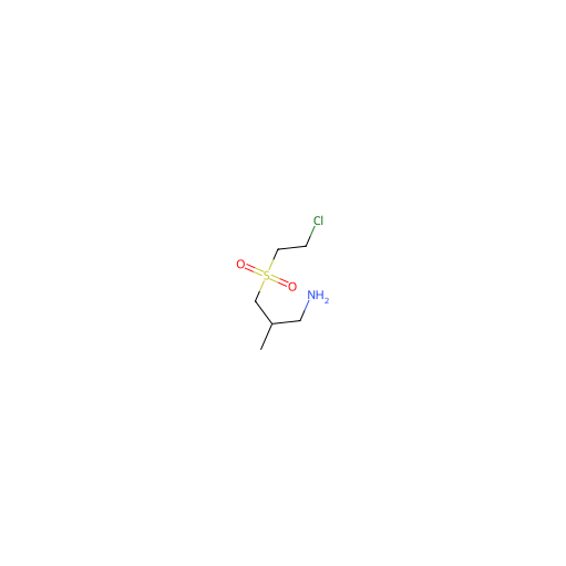 CC(CN)CS(=O)(=O)CCCl